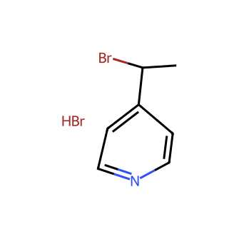 Br.CC(Br)c1ccncc1